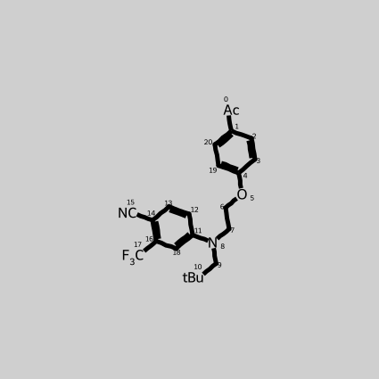 CC(=O)c1ccc(OCCN(CC(C)(C)C)c2ccc(C#N)c(C(F)(F)F)c2)cc1